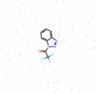 O=C(n1nnc2ccccc21)C(F)(F)F